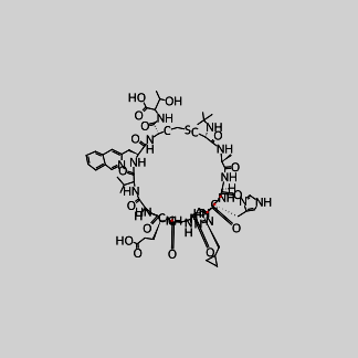 CC(C)C1NC(=O)[C@@H]2CCCCn3cc(nn3)CC[C@H](NC(=O)[C@H](C)NC(=O)[C@@H](NC(C)(C)C)CSCC[C@@H](C(=O)NC(C(=O)O)C(C)O)NC(=O)[C@H](Cc3cc4ccccc4cn3)NC1=O)C(=O)N[C@@H](Cc1c[nH]cn1)C(=O)N[C@@H](CC1CC1)C(=O)NCC(=O)N[C@@H](CCC(=O)O)C(=O)N2